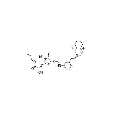 C=CCOC(=O)C(=C=c1sc(=C=CNc2cccc(CCN3CC[C@H]4CCCC[C@@H]4C3)c2)c(=O)n1CC)C#N